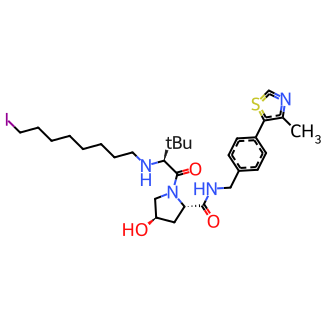 Cc1ncsc1-c1ccc(CNC(=O)[C@@H]2C[C@@H](O)CN2C(=O)[C@@H](NCCCCCCCCI)C(C)(C)C)cc1